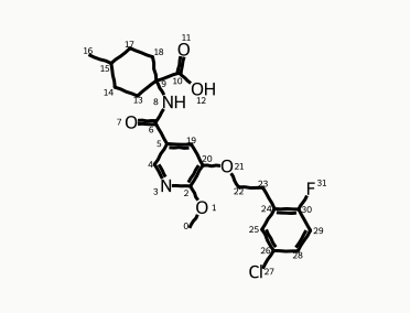 COc1ncc(C(=O)NC2(C(=O)O)CCC(C)CC2)cc1OCCc1cc(Cl)ccc1F